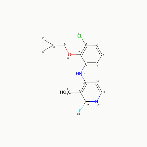 O=C(O)c1c(Nc2cccc(Cl)c2OCC2CC2)ccnc1F